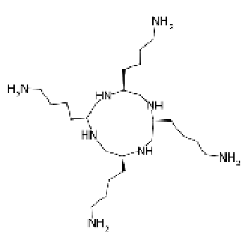 NCCCC[C@H]1CN[C@@H](CCCCN)CN[C@@H](CCCCN)CN[C@@H](CCCCN)CN1